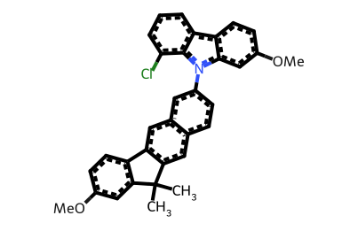 COc1ccc2c(c1)C(C)(C)c1cc3ccc(-n4c5cc(OC)ccc5c5cccc(Cl)c54)cc3cc1-2